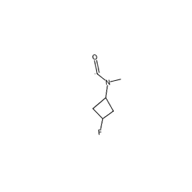 CN([C]=O)C1CC(F)C1